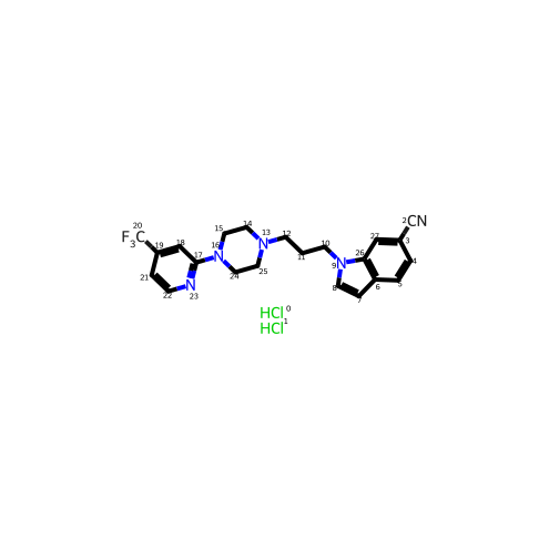 Cl.Cl.N#Cc1ccc2ccn(CCCN3CCN(c4cc(C(F)(F)F)ccn4)CC3)c2c1